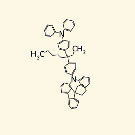 CCCCCC(CC)(c1ccc(N(c2ccccc2)c2ccccc2)cc1)c1ccc(N(c2ccccc2)c2cccc3c2C2(CCCC2)c2ccccc2-3)cc1